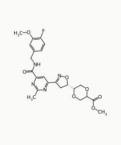 COC(=O)C1COC([C@@H]2CC(c3cc(C(=O)NCc4ccc(F)c(OC)c4)nc(C)n3)=NO2)CO1